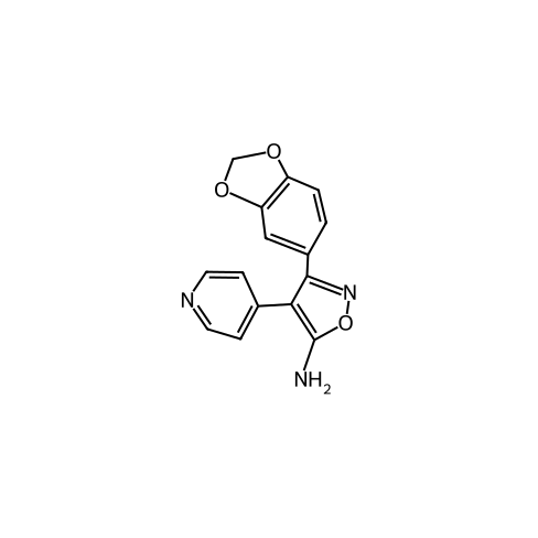 Nc1onc(-c2ccc3c(c2)OCO3)c1-c1ccncc1